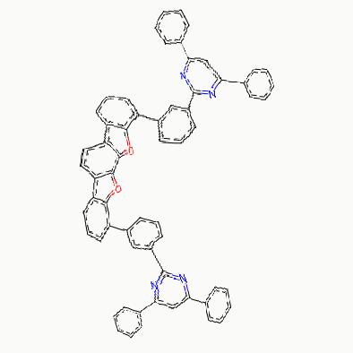 c1ccc(-c2cc(-c3ccccc3)nc(-c3cccc(-c4cccc5c4oc4c5ccc5c6cccc(-c7cccc(-c8nc(-c9ccccc9)cc(-c9ccccc9)n8)c7)c6oc54)c3)n2)cc1